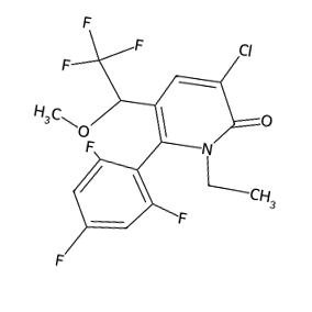 CCn1c(-c2c(F)cc(F)cc2F)c(C(OC)C(F)(F)F)cc(Cl)c1=O